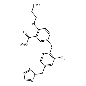 COCCNc1ccc(Oc2ncc(Cn3nccn3)cc2C(F)(F)F)cc1C(=O)OC